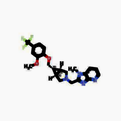 COc1cc(C(F)(F)F)ccc1OC[C@@H]1[C@H]2CN(Cc3nc4ncccc4n3C)C[C@@H]12